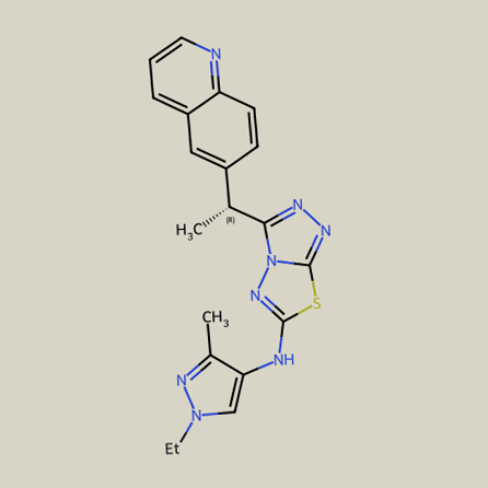 CCn1cc(Nc2nn3c([C@H](C)c4ccc5ncccc5c4)nnc3s2)c(C)n1